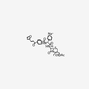 CC(=O)OCC1=C(C(=O)[O-])N2C(=O)[C@@H](NC(=O)C(NC(=O)c3ccc(C(=O)C=Cc4ccco4)cc3)c3ccccc3)[C@H]2SC1.[Na+]